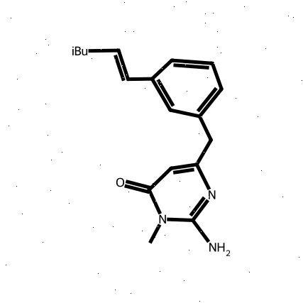 CCC(C)C=Cc1cccc(Cc2cc(=O)n(C)c(N)n2)c1